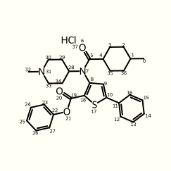 CC1CCC(C(=O)N(c2cc(-c3ccccc3)sc2C(=O)Oc2ccccc2)C2CCN(C)CC2)CC1.Cl